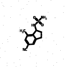 Cc1cc(C#N)cc2c1C(NS(N)(=O)=O)CC2